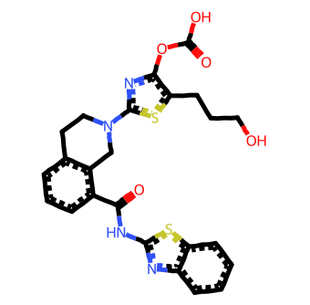 O=C(O)Oc1nc(N2CCc3cccc(C(=O)Nc4nc5ccccc5s4)c3C2)sc1CCCO